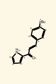 CCCCc1ccc(C=CC(=O)c2ccc[nH]2)cc1